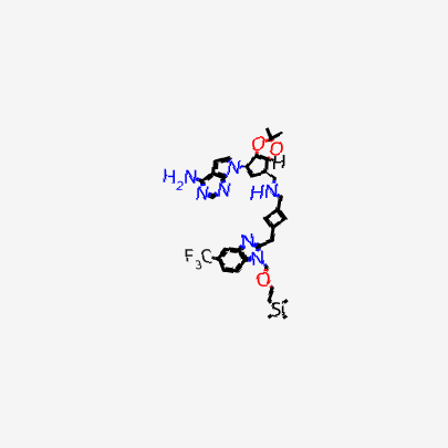 CC1(C)OC2[C@H](n3ccc4c(N)ncnc43)C[C@H](CNCC3CC(Cc4nc5cc(C(F)(F)F)ccc5n4COCC[Si](C)(C)C)C3)[C@H]2O1